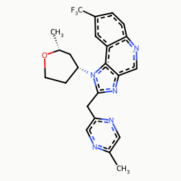 Cc1cnc(Cc2nc3cnc4ccc(C(F)(F)F)cc4c3n2[C@@H]2CCO[C@H](C)C2)cn1